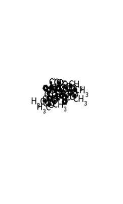 CC(=O)OC[C@@H]1O[C@H](Oc2cc3c(c4ccccc24)[C@H](CCl)CN3C(=O)c2cc(C(=O)N3C[C@@H](CCl)c4c3cc(O[C@@H]3O[C@H](COC(C)=O)[C@H](OC(C)=O)[C@H](OC(C)=O)[C@H]3OC(C)=O)c3ccccc43)cc([N+](=O)[O-])c2)[C@@H](OC(C)=O)[C@H](OC(C)=O)[C@@H]1OC(C)=O